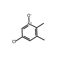 Cc1cc(Cl)c[n+]([O-])c1C